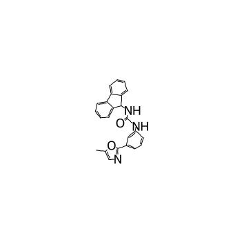 Cc1cnc(-c2cccc(NC(=O)NC3c4ccccc4-c4ccccc43)c2)o1